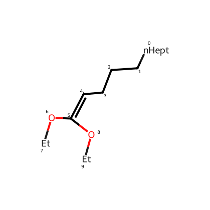 CCCCCCCCCC[C]=C(OCC)OCC